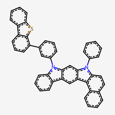 c1ccc(-n2c3cc4c(cc3c3c5ccccc5ccc32)c2ccccc2n4-c2cccc(-c3cccc4c3sc3ccccc34)c2)cc1